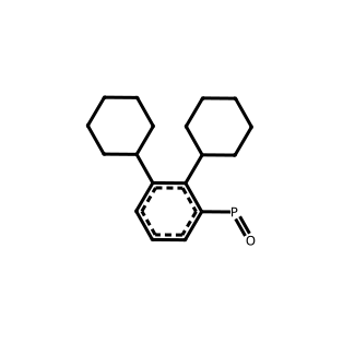 O=Pc1cccc(C2CCCCC2)c1C1CCCCC1